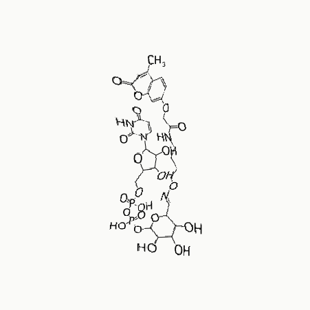 Cc1cc(=O)oc2cc(OCC(=O)NCCCCON=CC3OC(OP(=O)(O)OP(=O)(O)OCC4OC(n5ccc(=O)[nH]c5=O)C(O)C4O)C(O)C(O)C3O)ccc12